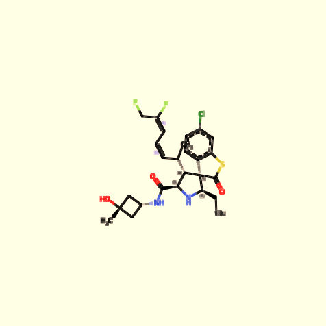 CC(/C=C\C=C(\F)CF)[C@H]1[C@H](C(=O)N[C@H]2C[C@@](C)(O)C2)N[C@H](CC(C)(C)C)[C@]12C(=O)Sc1cc(Cl)ccc12